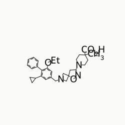 CCOc1cc(CN2CC3(CC(N4CCC(C)(C(=O)O)CC4)=NO3)C2)cc(C2CC2)c1-c1ccccc1